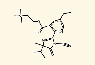 CCc1cnc(C2=NC(C)(C(C)C)C(=O)N2C#N)c(C(=O)OCC[Si](C)(C)C)c1